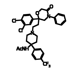 CC(=O)NC1(c2ccc(C(F)(F)F)cc2)CCN(CCC2(c3ccc(Cl)c(Cl)c3)CN(c3ccccc3)C(=O)CO2)CC1